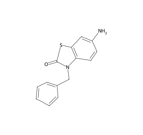 Nc1ccc2c(c1)sc(=O)n2Cc1ccccc1